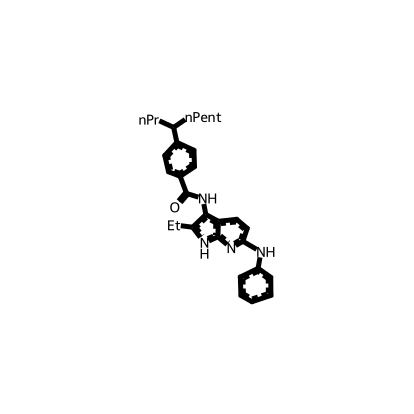 CCCCCC(CCC)c1ccc(C(=O)Nc2c(CC)[nH]c3nc(Nc4ccccc4)ccc23)cc1